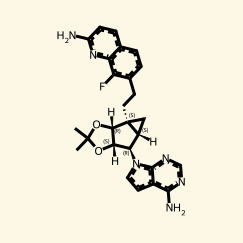 CC1(C)O[C@H]2[C@H](n3ccc4c(N)ncnc43)[C@H]3C[C@]3(CCc3ccc4ccc(N)nc4c3F)[C@H]2O1